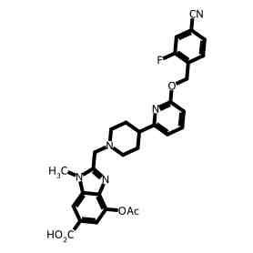 CC(=O)Oc1cc(C(=O)O)cc2c1nc(CN1CCC(c3cccc(OCc4ccc(C#N)cc4F)n3)CC1)n2C